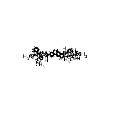 COC[C@H]1C[C@@H](c2ncc(-c3ccc4c(c3)COc3cc5c(ccc6nc(C7CC[C@H](C)N7C(=O)C(NC(=O)OC)C(C)C)[nH]c65)cc3-4)[nH]2)N(C(=O)[C@@H](NC(=O)OC)c2ccccc2)C1